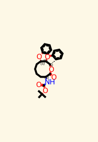 C[C@@H]1OC(=O)[C@@H](NC(=O)OC(C)(C)C)CCCC[C@H](Oc2ccccc2)[C@H]1Oc1ccccc1